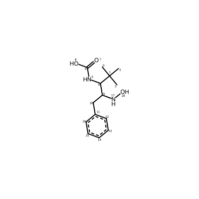 CC(C)(C)C(NC(=O)O)C(Cc1ccccc1)NO